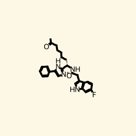 CC(=O)CCCCC[C@H](NC(=O)Cc1c[nH]c2cc(F)ccc12)C1=[N+]C=C(c2ccccc2)N1